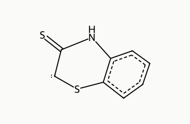 S=C1[C]Sc2ccccc2N1